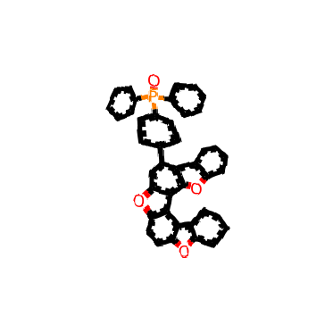 O=P(c1ccccc1)(c1ccccc1)c1ccc(-c2cc3oc4ccc5oc6ccccc6c5c4c3c3oc4ccccc4c23)cc1